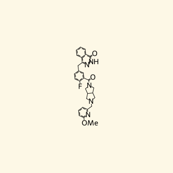 COc1cccc(CN2CC3CN(C(=O)c4cc(Cc5n[nH]c(=O)c6ccccc56)ccc4F)CC3C2)n1